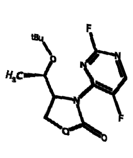 C[C@@H](OC(C)(C)C)C1COC(=O)N1c1nc(F)ncc1F